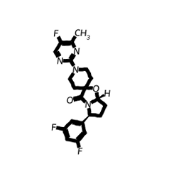 Cc1nc(N2CCC3(CC2)O[C@@H]2CC[C@@H](c4cc(F)cc(F)c4)N2C3=O)ncc1F